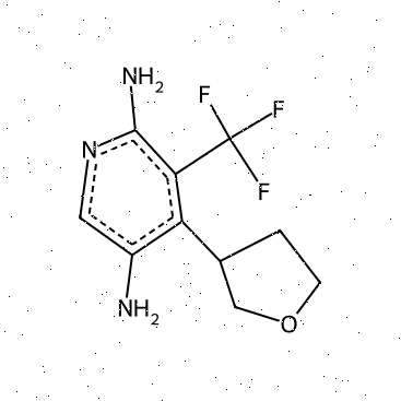 Nc1cnc(N)c(C(F)(F)F)c1C1CCOC1